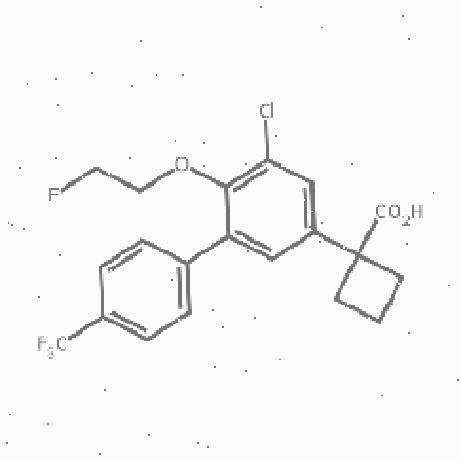 O=C(O)C1(c2cc(Cl)c(OCCF)c(-c3ccc(C(F)(F)F)cc3)c2)CCC1